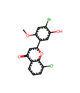 COc1cc(Br)c(O)cc1-c1cc(=O)c2cccc(Cl)c2o1